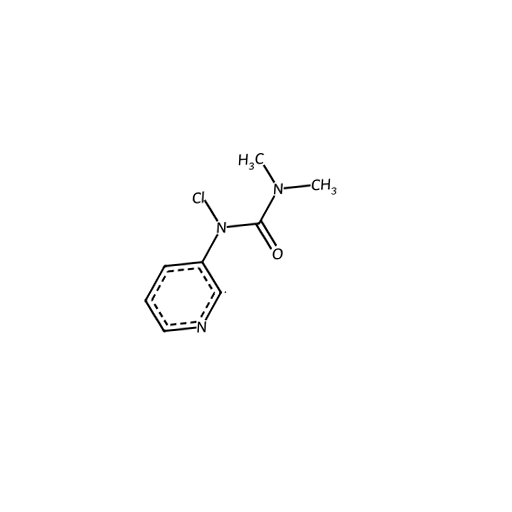 CN(C)C(=O)N(Cl)c1[c]nccc1